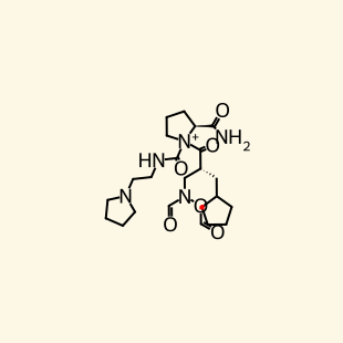 NC(=O)[C@@H]1CCC[N+]1(C(=O)NCCN1CCCC1)C(=O)[C@H](CC1CCCC1)CN(C=O)OC=O